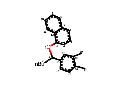 C[CH]CCC(Oc1cccc2ccccc12)c1ccc(C)c(C)c1